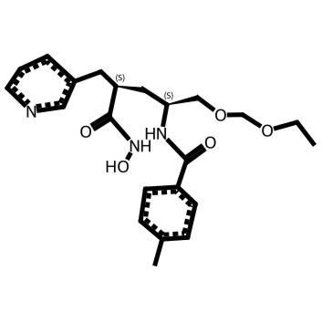 CCOCOC[C@H](C[C@H](Cc1cccnc1)C(=O)NO)NC(=O)c1ccc(C)cc1